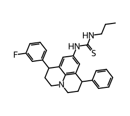 CCCNC(=S)Nc1cc2c3c(c1)C(c1cccc(F)c1)CCN3CCC2c1ccccc1